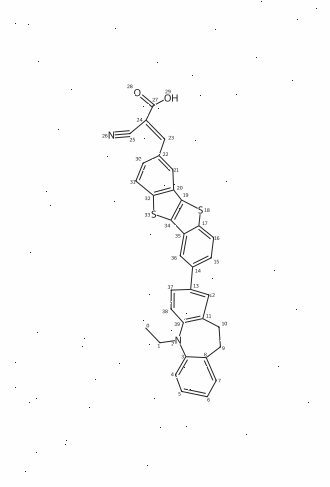 CCN1c2ccccc2CCc2cc(-c3ccc4sc5c6cc(/C=C(\C#N)C(=O)O)ccc6sc5c4c3)ccc21